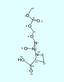 COC(=O)OCO/N=[N+](\[O-])N1CCC1C(=O)O